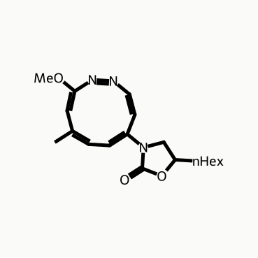 CCCCCCC1CN(c2ccnnc(OC)cc(C)cc2)C(=O)O1